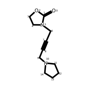 O=C1OCCN1CC#CCN1CCCC1